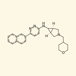 c1ccc2cc(-c3ccc(NC4[C@H]5CN(CC6CCOCC6)C[C@@H]45)nn3)ccc2c1